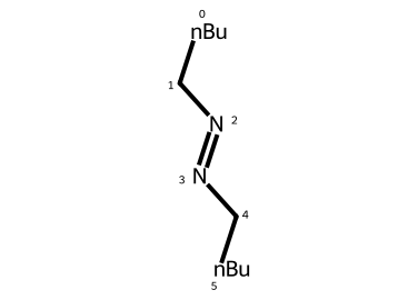 CCCCC/N=N/CCCCC